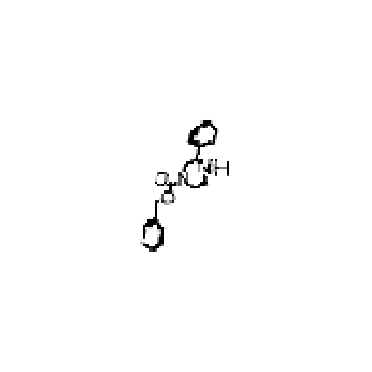 O=C(OCc1ccccc1)N1CCNC(c2ccccc2)C1